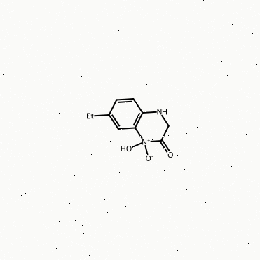 CCc1ccc2c(c1)[N+]([O-])(O)C(=O)CN2